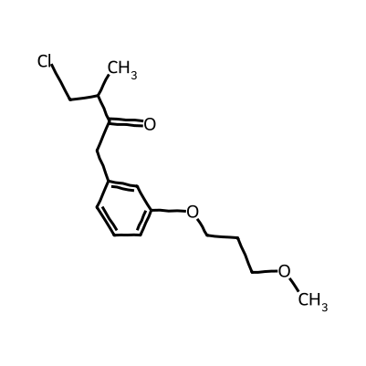 COCCCOc1cccc(CC(=O)C(C)CCl)c1